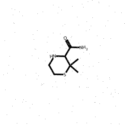 CC1(C)SCCNC1C(N)=O